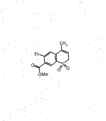 CCc1cc2c(cc1C(=O)OC)S(=O)(=O)CC=C2C